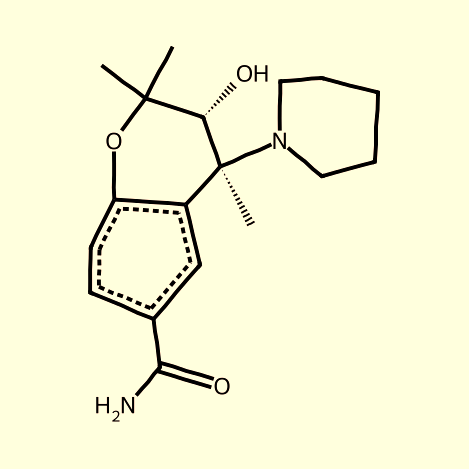 CC1(C)Oc2ccc(C(N)=O)cc2[C@](C)(N2CCCCC2)[C@H]1O